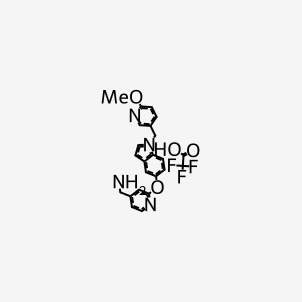 COc1ccc(Cn2ccc3cc(Oc4cc(CN)ccn4)ccc32)cn1.O=C(O)C(F)(F)F